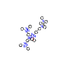 c1ccc(-c2nc(-c3ccccc3)nc(-c3ccc(-n4c5ccccc5c5cc(-c6nc(-c7ccccc7)nc(-c7ccccc7)n6)ccc54)c(-c4nc(-c5ccccc5)nc(-c5ccc(-c6ccc(N7c8ccccc8B8c9ccccc9N(c9ccccc9)c9cccc7c98)cc6)cc5)n4)c3)n2)cc1